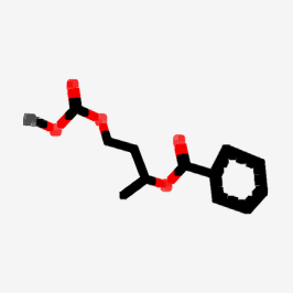 CC(C)OC(=O)OCCC(C)OC(=O)c1ccccc1